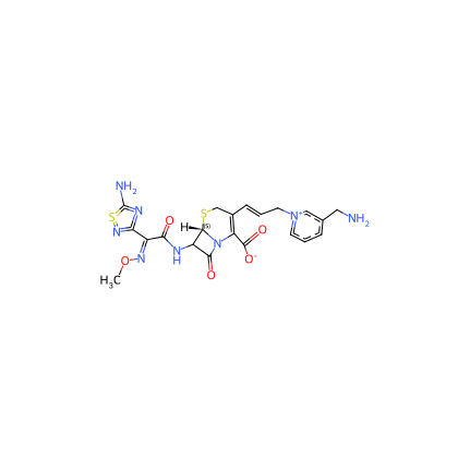 CON=C(C(=O)NC1C(=O)N2C(C(=O)[O-])=C(C=CC[n+]3cccc(CN)c3)CS[C@@H]12)c1nsc(N)n1